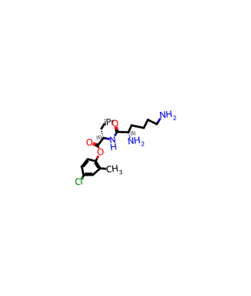 Cc1cc(Cl)ccc1OC(=O)[C@H](CC(C)C)NC(=O)[C@@H](N)CCCCN